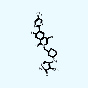 O=c1[nH]ncc(N[C@H]2CCCC(Cn3cc(Br)c4cc(-c5ncc(C(F)(F)F)cn5)c(F)cc4c3=O)C2)c1C(F)(F)F